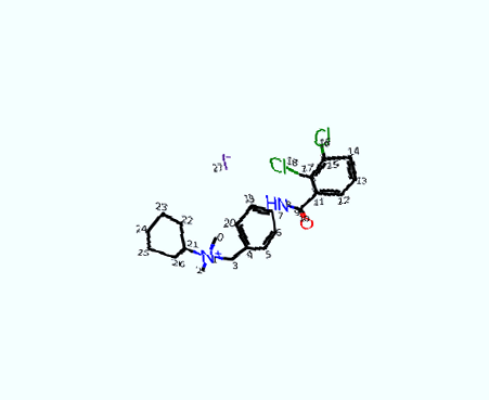 C[N+](C)(Cc1ccc(NC(=O)c2cccc(Cl)c2Cl)cc1)C1CCCCC1.[I-]